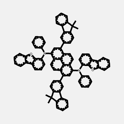 CC1(C)c2ccccc2-c2cc(-c3cc(N(c4ccccc4)c4cccc5c4oc4ccccc45)c4ccc5c(-c6ccc7c(c6)-c6ccccc6C7(C)C)cc(N(c6ccccc6)c6cccc7c6oc6ccccc67)c6ccc3c4c56)ccc21